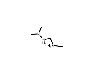 C[SiH2]C[SiH2]N(C)C